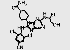 CC[C@@H](CO)Nc1ncc2nc(Nc3c(Cl)cc(C#N)cc3Cl)n([C@H]3CC[C@H](C(N)=O)CC3)c2n1